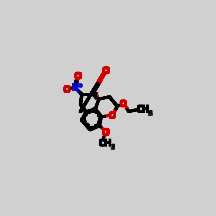 CCOC1CC23C=CC(=O)CC2C([N+](=O)[O-])Cc2ccc(OC)c(c23)O1